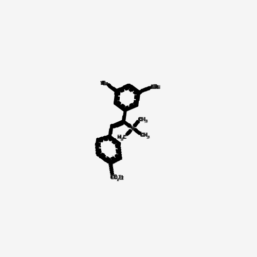 CCOC(=O)c1ccc(/C=C(/c2cc(C(C)(C)C)cc(C(C)(C)C)c2)[Si](C)(C)C)cc1